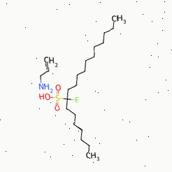 C=CCN.CCCCCCCCCCCC(F)(CCCCCCC)S(=O)(=O)O